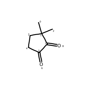 CC1(C)[CH]CC(=O)C1=O